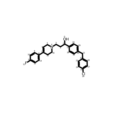 OC(CCN1CC=C(c2ccc(F)cc2)CC1)c1ccc(Cc2ccc(Cl)cc2)cc1